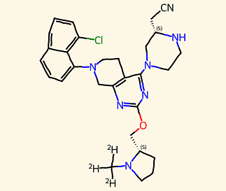 [2H]C([2H])([2H])N1CCC[C@H]1COc1nc2c(c(N3CCN[C@@H](CC#N)C3)n1)CCN(c1cccc3cccc(Cl)c13)C2